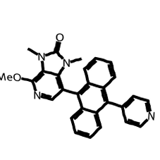 COc1ncc(-c2c3ccccc3c(-c3ccncc3)c3ccccc23)c2c1n(C)c(=O)n2C